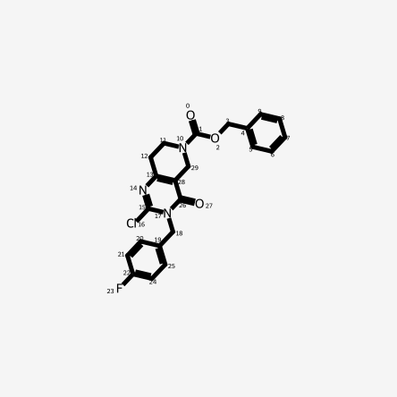 O=C(OCc1ccccc1)N1CCc2nc(Cl)n(Cc3ccc(F)cc3)c(=O)c2C1